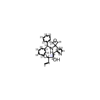 C=CC(=O)/C(O)=C/c1nccn1C1(NC(c2ccccc2)c2ccccc2)COC1